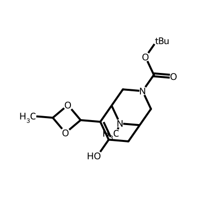 CC1OC(C2=C(O)CC3CN(C(=O)OC(C)(C)C)CC2N3C)O1